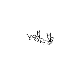 CCCCOc1ccc(NCCCCCNS(=O)(=O)C(C)C)c(O)c1